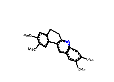 COc1cc2c(cc1OC)-c1cc3cc(OC)c(OC)cc3nc1CC2